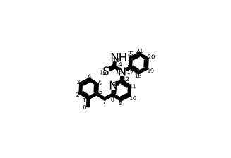 Cc1ccccc1Cc1cccc(N(C(N)=S)c2ccccc2)n1